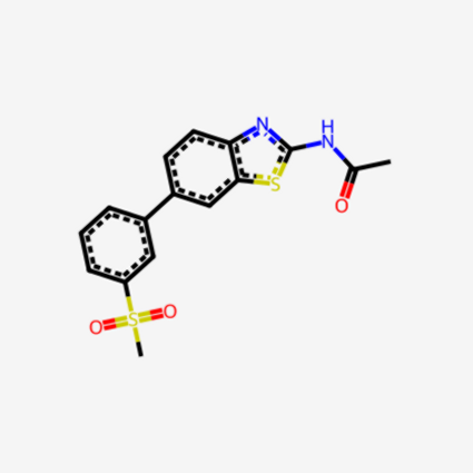 CC(=O)Nc1nc2ccc(-c3cccc(S(C)(=O)=O)c3)cc2s1